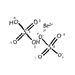 O=S(=O)(O)O.O=S(=O)([O-])[O-].[Be+2]